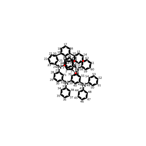 Clc1cc2c(c(Cl)n1)-c1c(-c3ccccc3)cccc1-c1cccc(c1)N2c1cccc(N(c2ccccc2)c2cc(N(c3ccccc3)c3ccccc3)cc(N(c3ccccc3)c3ccccc3)c2)c1